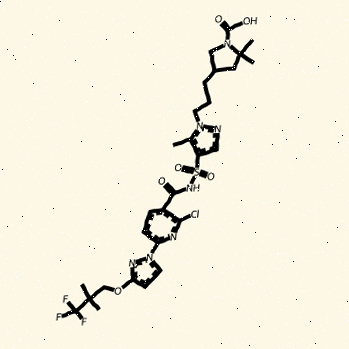 Cc1c(S(=O)(=O)NC(=O)c2ccc(-n3ccc(OCC(C)(C)C(F)(F)F)n3)nc2Cl)cnn1CCCC1CN(C(=O)O)C(C)(C)C1